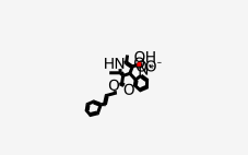 CC1=C(C(=O)O)C(c2ccccc2[N+](=O)[O-])C(C(=O)OCC=Cc2ccccc2)=C(C)N1